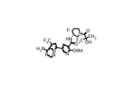 COc1ncc(-c2cc(C(F)(F)F)c3c(N)ncnn23)cc1C(=O)N[C@H]1CN(C(=O)C(C)(O)C(F)(F)F)CC[C@H]1F